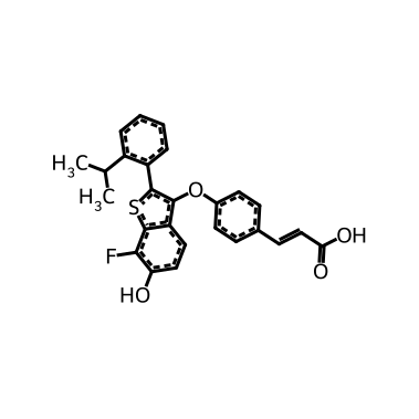 CC(C)c1ccccc1-c1sc2c(F)c(O)ccc2c1Oc1ccc(C=CC(=O)O)cc1